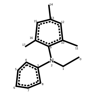 CCN(c1ccccc1)c1c(C)cc(C)cc1C